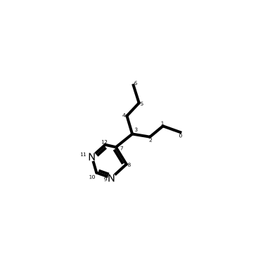 CCCC(CCC)c1cncnc1